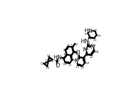 Cc1ccc2c(NC(=O)[C@H]3CC34CC4)cccc2c1Oc1ncccc1-c1ccnc(NC2CCCNC2)n1